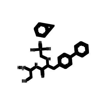 O=C(O)C(CO)NC(=O)C(Cc1ccc(-c2ccccc2)cc1)NCP(=O)(O)O.c1ccc2c(c1)C2